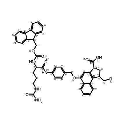 NC(=O)NCCCC(NC(=O)OCC1c2ccccc2-c2ccccc21)C(=O)Nc1ccc(COc2cc3c(c4ccccc24)[C@H](CCl)CN3C(=O)O)cc1